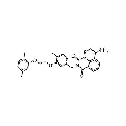 Cc1ccc(C)c(OCCOc2cc(CN3C(=O)c4cccc5c(N)ccc(c45)C3=O)ccc2C)c1